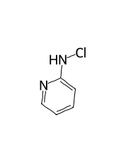 ClNc1ccccn1